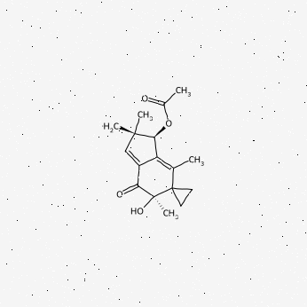 [CH2][C@]1(C)C=C2C(=O)[C@](C)(O)C3(CC3)C(C)=C2[C@@H]1OC(C)=O